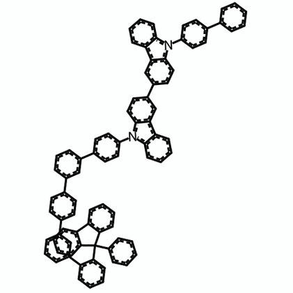 c1ccc(-c2ccc(-n3c4ccccc4c4cc(-c5ccc6c(c5)c5ccccc5n6-c5ccc(-c6cccc(-c7ccc(-c8cccc(-c9ccccc9C9(c%10ccccc%10)c%10ccccc%10-c%10ccccc%109)c8)cc7)c6)cc5)ccc43)cc2)cc1